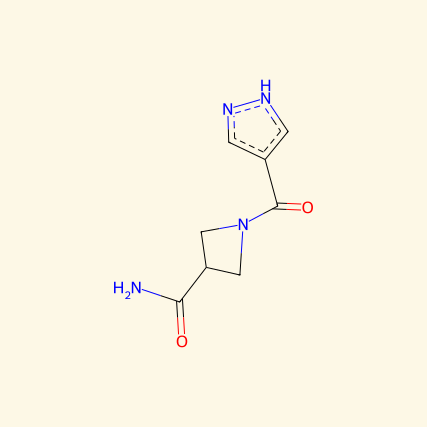 NC(=O)C1CN(C(=O)c2cn[nH]c2)C1